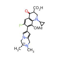 COc1c(-c2cc3n(c2)C[C@H](C)N(C)C3)c(F)cc2c1N(C1CC1)CC(C(=O)O)C2=O